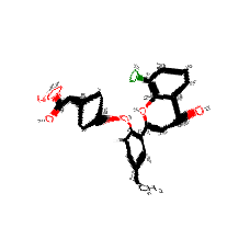 Cc1ccc(OC2CC(C(=O)O)C2)c(-c2cc(=O)c3cccc(Cl)c3o2)c1